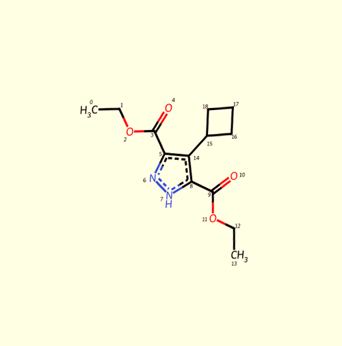 CCOC(=O)c1n[nH]c(C(=O)OCC)c1C1CCC1